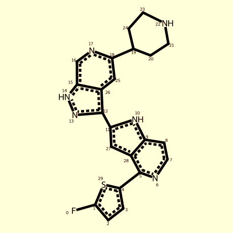 Fc1ccc(-c2nccc3[nH]c(-c4n[nH]c5cnc(C6CCNCC6)cc45)cc23)s1